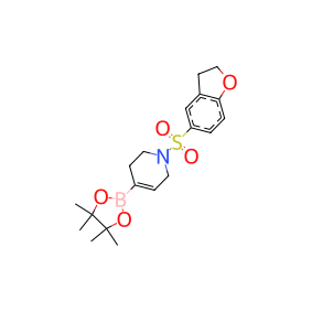 CC1(C)OB(C2=CCN(S(=O)(=O)c3ccc4c(c3)CCO4)CC2)OC1(C)C